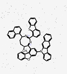 CC1CCC(c2cccc3ccccc23)/N=C(c2cccc3c2sc2ccccc23)\N=C/1c1cc(-n2c3ccccc3c3cc4ccccc4cc32)cc2oc3ccccc3c12